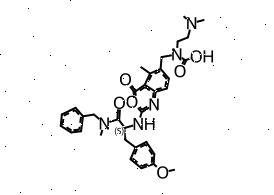 COc1ccc(C[C@H](Nc2nc3ccc(CN(CCN(C)C)C(=O)O)c(C)c3c(=O)o2)C(=O)N(C)Cc2ccccc2)cc1